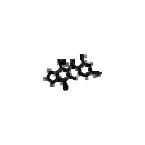 Cc1c(Nc2ccc(Br)cc2F)c(N)c2n(c1=O)CCC2